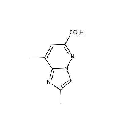 Cc1cn2nc(C(=O)O)cc(C)c2n1